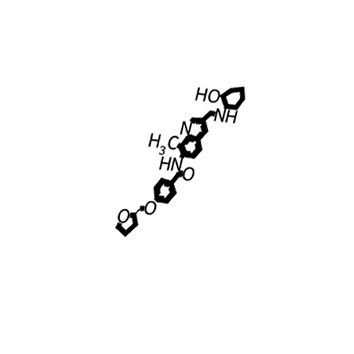 Cc1c(NC(=O)c2ccc(OC[C@@H]3CCCO3)cc2)ccc2cc(CN[C@@H]3CCCC[C@H]3O)cnc12